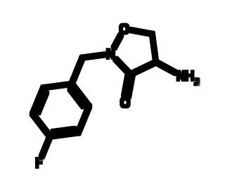 NC1CON(Cc2ccc(F)cc2)C1=O